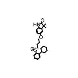 CC1(C)C(=O)Nc2ccc(OCCCC[S+]([O-])c3ccccc3C3CCCCC3)cc21